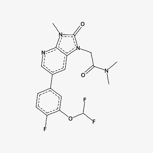 CN(C)C(=O)Cn1c(=O)n(C)c2ncc(-c3ccc(F)c(OC(F)F)c3)cc21